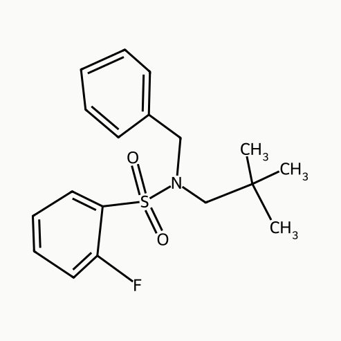 CC(C)(C)CN(Cc1ccccc1)S(=O)(=O)c1ccccc1F